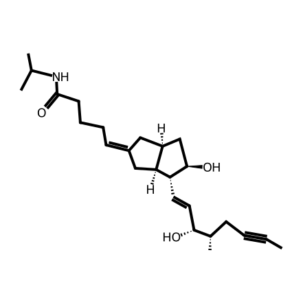 CC#CC[C@H](C)[C@H](O)/C=C/[C@@H]1[C@H]2C/C(=C/CCCC(=O)NC(C)C)C[C@H]2C[C@H]1O